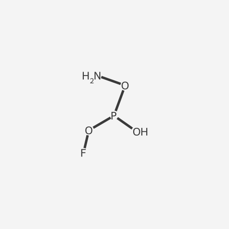 NOP(O)OF